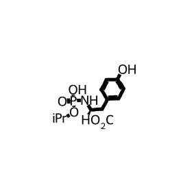 CC(C)OP(=O)(O)N[C@@H](Cc1ccc(O)cc1)C(=O)O